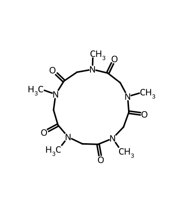 CN1CC(=O)N(C)CC(=O)N(C)CC(=O)N(C)CC(=O)N(C)CC1=O